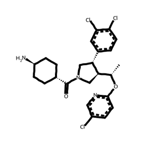 C[C@H](Oc1ccc(Cl)cn1)[C@H]1CN(C(=O)[C@H]2CC[C@H](N)CC2)C[C@@H]1c1ccc(Cl)c(Cl)c1